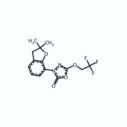 CC1(C)Cc2cccc(-n3nc(OCC(F)(F)F)oc3=O)c2O1